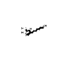 CCCCCCCCC([C]=O)C(=O)C(C)C